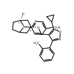 Cc1ccccc1-c1noc(C2CC2)c1CO[C@@H]1CC2CC[C@@H](C1)N2c1ccc(C(=O)O)cn1